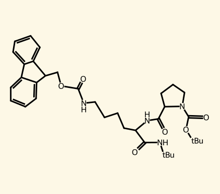 CC(C)(C)NC(=O)C(CCCCNC(=O)OCC1c2ccccc2-c2ccccc21)NC(=O)C1CCCN1C(=O)OC(C)(C)C